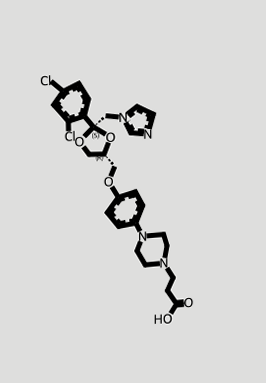 O=C(O)CCN1CCN(c2ccc(OC[C@@H]3CO[C@@](Cn4ccnc4)(c4ccc(Cl)cc4Cl)O3)cc2)CC1